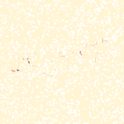 Cc1oc(=O)oc1C[C@@H](C)CC1CCC(OC(=O)OC(C)C(C)C)CC1